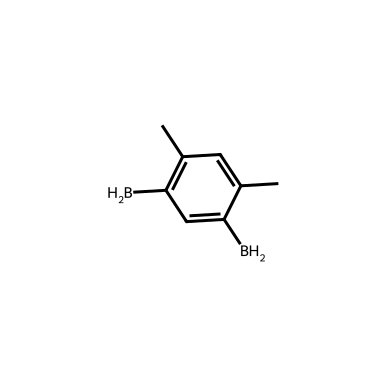 Bc1cc(B)c(C)cc1C